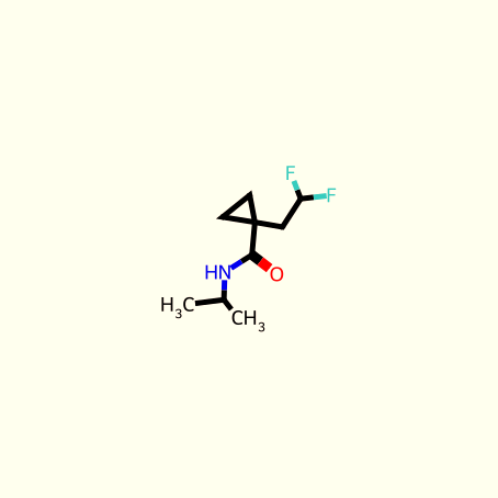 CC(C)NC(=O)C1(CC(F)F)CC1